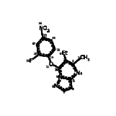 CCc1c(C)nc2ccnn2c1Oc1ccc([N+](=O)[O-])cc1F